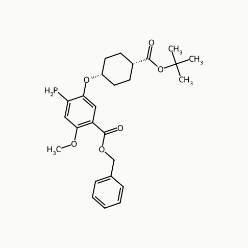 COc1cc(P)c(O[C@H]2CC[C@@H](C(=O)OC(C)(C)C)CC2)cc1C(=O)OCc1ccccc1